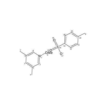 CO[n+]1cc(C)cc(C)c1.Cc1ccc(S(=O)(=O)[O-])cc1